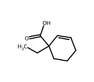 CCC1(C(=O)O)C=CCCC1